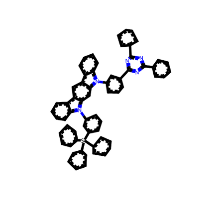 c1ccc(-c2nc(-c3ccccc3)nc(-c3cccc(-n4c5ccccc5c5cc6c7ccccc7n(-c7cccc([Si](c8ccccc8)(c8ccccc8)c8ccccc8)c7)c6cc54)c3)n2)cc1